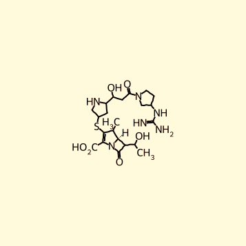 CC(O)C1C(=O)N2C(C(=O)O)=C(SC3CNC(C(O)CC(=O)N4CCC(NC(=N)N)C4)C3)C(C)[C@@H]12